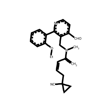 C=C(/C=C\CC1(C#N)CC1)N(C)Cc1c(C=O)ccnc1-c1ccccc1OCC